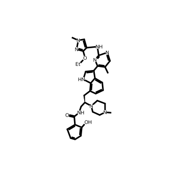 CCOc1nn(C)cc1Nc1ncc(C)c(-c2c[nH]c3c(C[C@H](CNC(=O)c4ccccc4O)N4CCN(C)CC4)cccc23)n1